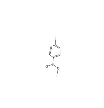 COB(OC)c1ccc(F)cc1